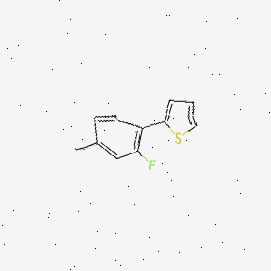 Cc1ccc(-c2cccs2)c(F)c1